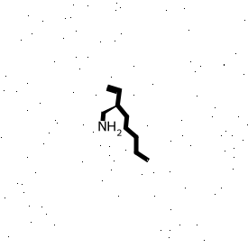 C=C[C@H](CN)CCCCC